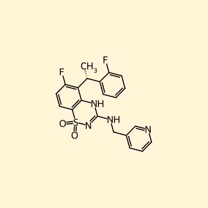 C[C@H](c1ccccc1F)c1c(F)ccc2c1NC(NCc1cccnc1)=NS2(=O)=O